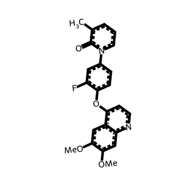 COc1cc2nccc(Oc3ccc(-n4cccc(C)c4=O)cc3F)c2cc1OC